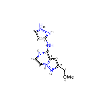 COCc1cc2c(Nc3cc[nH]n3)nccn2n1